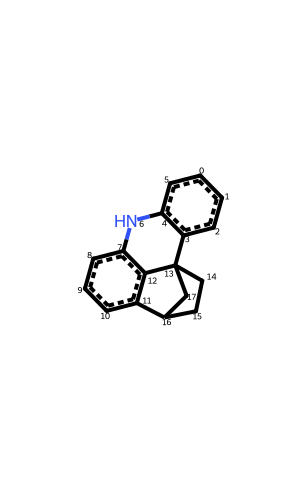 c1ccc2c(c1)Nc1cccc3c1C21CCC3C1